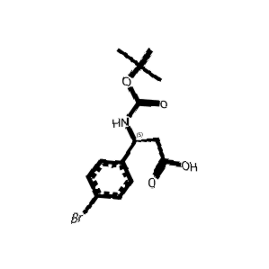 CC(C)(C)OC(=O)N[C@@H](CC(=O)O)c1ccc(Br)cc1